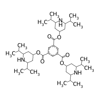 CC(C)C1CC(OC(=O)c2cc(C(=O)OC3CC(C(C)C)NC(C(C)C)C3)cc(C(=O)OC3CC(C(C)C)NC(C(C)C)C3)c2)CC(C(C)C)N1